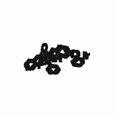 O=C(NCc1ccccc1F)C(=Cc1ccc(Oc2ccccc2Br)cc1)NC(=O)c1ccccc1